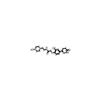 CC(=O)N1CCN(CCNC(=O)COc2ccc(C3=NNC(=O)CC3)cc2Cl)CC1